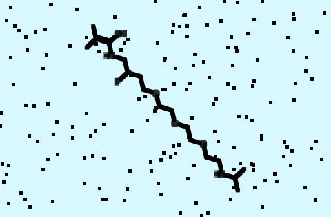 CC(C)=C(O)NCC(F)CCOCCOCCOCCNC(C)C